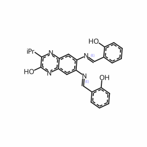 CC(C)c1nc2cc(/N=C/c3ccccc3O)c(/N=C/c3ccccc3O)cc2nc1O